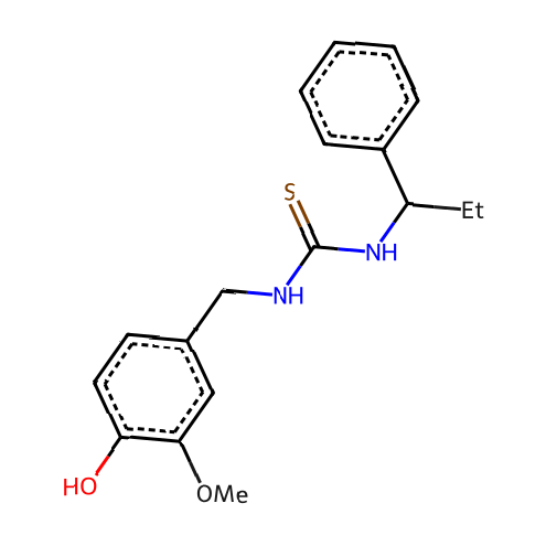 CCC(NC(=S)NCc1ccc(O)c(OC)c1)c1ccccc1